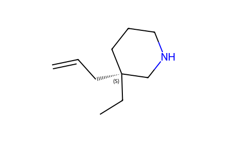 C=CC[C@]1(CC)CCCNC1